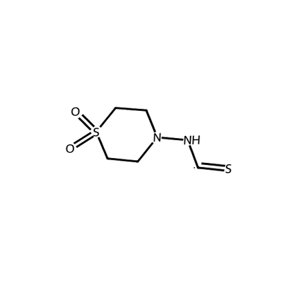 O=S1(=O)CCN(N[C]=S)CC1